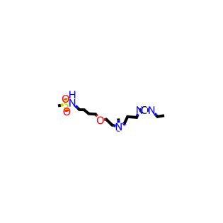 CCN=C=NCCC[N+](C)(C)CCOCCCCNS(C)(=O)=O